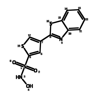 O=S(=O)(NO)c1cc(-c2nc3ccccc3s2)cs1